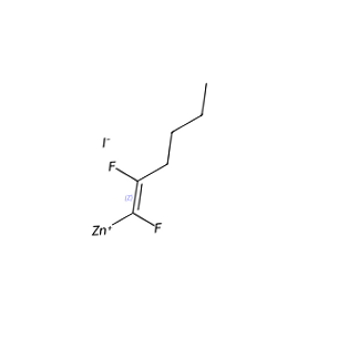 CCCC/C(F)=[C](\F)[Zn+].[I-]